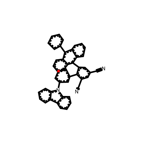 N#Cc1cc(C#N)c(-c2cccc(-n3c4ccccc4c4ccccc43)c2)c(-c2c3ccccc3c(-c3ccccc3)c3ccccc23)c1